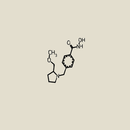 COCC1CCCN1Cc1ccc(C(=O)NO)cc1